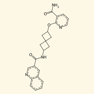 NC(=O)c1cccnc1OC1CC2(CC(NC(=O)c3cnc4ccccc4c3)C2)C1